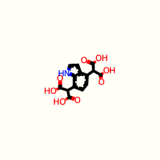 O=C(O)C(C(=O)O)c1ccc(C(C(=O)O)C(=O)O)c2[nH]ccc12